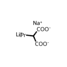 CC(C)C(C(=O)[O-])C(=O)[O-].[Li+].[Na+]